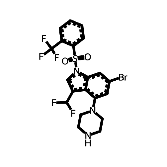 O=S(=O)(c1ccccc1C(F)(F)F)n1cc(C(F)F)c2c(N3CCNCC3)cc(Br)cc21